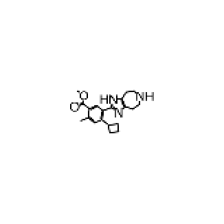 COC(=O)c1cc(-c2nc3c([nH]2)CCNCC3)c(C2CCC2)cc1C